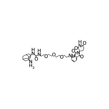 NC12CC3CC(C1)CC(NC(=O)NCCOCCOCCOCCNc1cccc4c1C(=O)N(C1CCC(=O)NC1=O)C4=O)(C3)C2